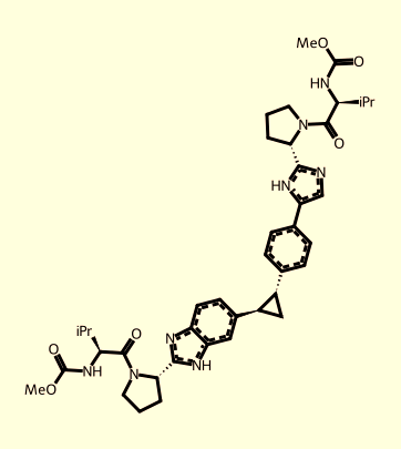 COC(=O)N[C@H](C(=O)N1CCC[C@H]1c1ncc(-c2ccc([C@@H]3C[C@H]3c3ccc4nc([C@@H]5CCCN5C(=O)[C@@H](NC(=O)OC)C(C)C)[nH]c4c3)cc2)[nH]1)C(C)C